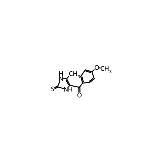 COc1ccc(C(=O)c2[nH]c(=S)[nH]c2C)cc1